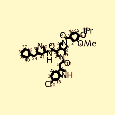 COc1cc(C(=O)N2CC3CN(C(=O)Cc4c[nH]c5cc(Cl)ccc45)CC(C(=O)Nc4cncc(Cc5ccccc5)c4)C3C2)ccc1OC(C)C